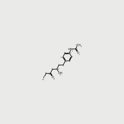 CC(=O)Nc1ccc(CCC(O)CC(=O)CF)cc1